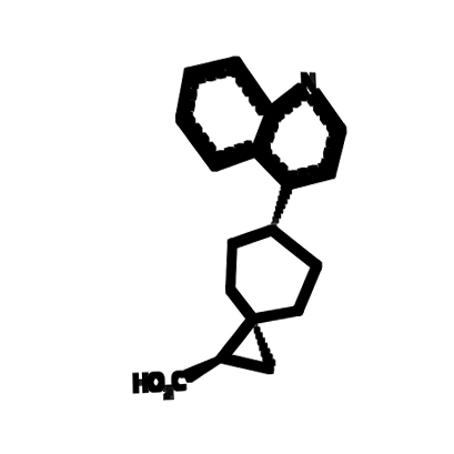 O=C(O)[C@@H]1C[C@]12CC[C@@H](c1ccnc3ccccc31)CC2